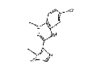 COc1ccc(Cl)cc1NC(=O)c1nc[nH]c1C